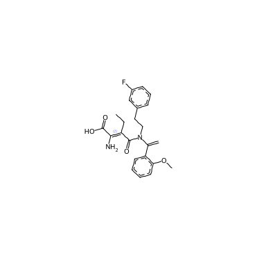 C=C(c1ccccc1OC)N(CCc1cccc(F)c1)C(=O)/C(CC)=C(\N)C(=O)O